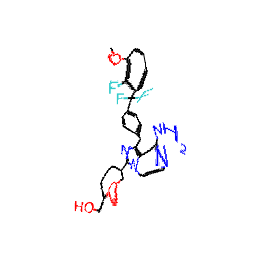 COc1cccc(C(F)(F)c2ccc(-c3nc(C4CCC(CO)OC4)n4ccnc(N)c34)cc2)c1F